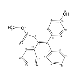 COC(=O)CC(=C(c1ccccc1)c1ccc(O)cc1)c1ccccc1